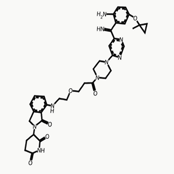 CC1(Oc2ccc(N)c(C(=N)c3cc(N4CCN(C(=O)CCOCCNc5cccc6c5C(=O)N(C5CCC(=O)NC5=O)C6)CC4)ncn3)c2)CC1